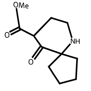 COC(=O)C1CCNC2(CCCC2)C1=O